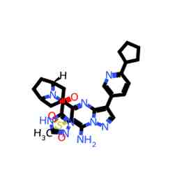 CS(=O)(=O)c1c(C2CC3CC[C@H](C2)N3C(=O)c2nnc[nH]2)nc2c(-c3ccc(C4CCCC4)nc3)cnn2c1N